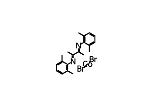 CC(=Nc1c(C)cccc1C)C(C)=Nc1c(C)cccc1C.[Br][Co][Br]